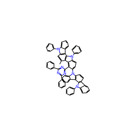 Cc1cc2c(c3ccccc3n2-c2ccccc2)c2c1c1c(-c3nc(-c4ccccc4)nc(-c4ccccc4)n3)c(-n3c4ccccc4c4c3ccc3c5ccccc5n(-c5ccccc5)c34)ccc1n2-c1ccccc1